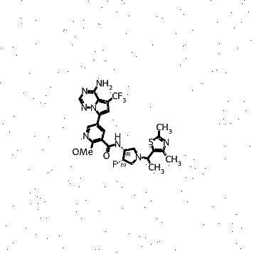 COc1ncc(-c2cc(C(F)(F)F)c3c(N)ncnn23)cc1C(=O)N[C@@H]1CN(C(C)c2sc(C)nc2C)C[C@@H]1F